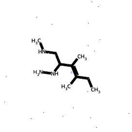 CC/C(C)=C(\C)C(CNC)NN